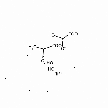 CC([O-])C(=O)[O-].CC([O-])C(=O)[O-].[OH-].[OH-].[Ti+4]